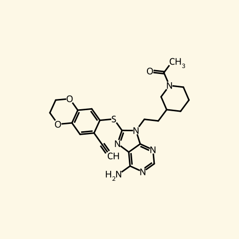 C#Cc1cc2c(cc1Sc1nc3c(N)ncnc3n1CCC1CCCN(C(C)=O)C1)OCCO2